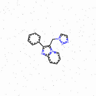 c1ccc(-c2nc3ccccn3c2Cn2ccnn2)cc1